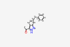 CC(=O)c1[nH]nc2c1CC1C(Cc3ccccc3)C21